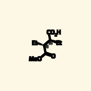 CC[C@H](C(=O)O)[C@@H](CC)C(=O)OC